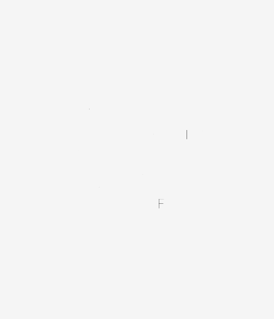 F[C]1CC=CC=C1F